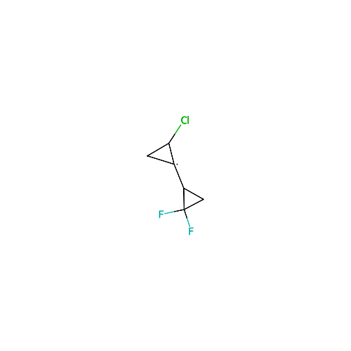 FC1(F)CC1[C]1CC1Cl